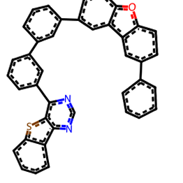 c1ccc(-c2ccc3oc4ccc(-c5cccc(-c6cccc(-c7ncnc8c7sc7ccccc78)c6)c5)cc4c3c2)cc1